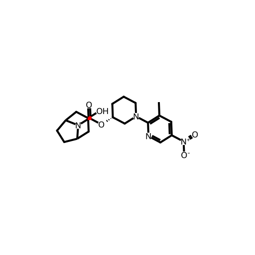 Cc1cc([N+](=O)[O-])cnc1N1CCC[C@@H](OC(=O)N2C3CCC2CC(O)C3)C1